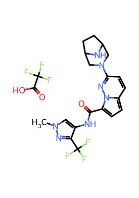 Cn1cc(NC(=O)c2ccc3ccc(N4CC5CCC(C4)N5)nn23)c(C(F)(F)F)n1.O=C(O)C(F)(F)F